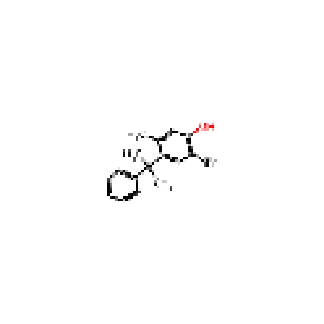 Cc1cc(O)c(C(C)C)cc1C(C)(C)c1ccccc1